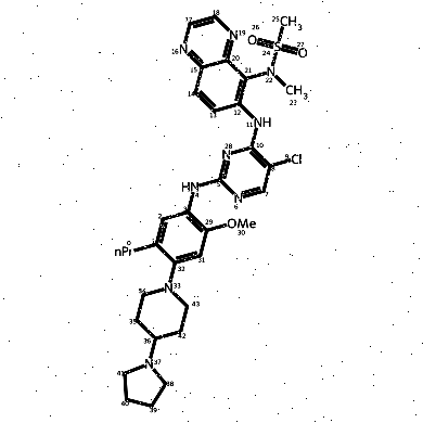 CCCc1cc(Nc2ncc(Cl)c(Nc3ccc4nccnc4c3N(C)S(C)(=O)=O)n2)c(OC)cc1N1CCC(N2CCCC2)CC1